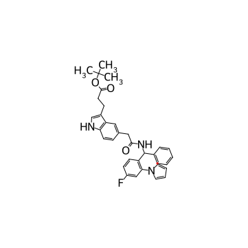 CC(C)(C)OC(=O)CCc1c[nH]c2ccc(CC(=O)NC(c3ccccc3)c3ccc(F)cc3-n3cccc3)cc12